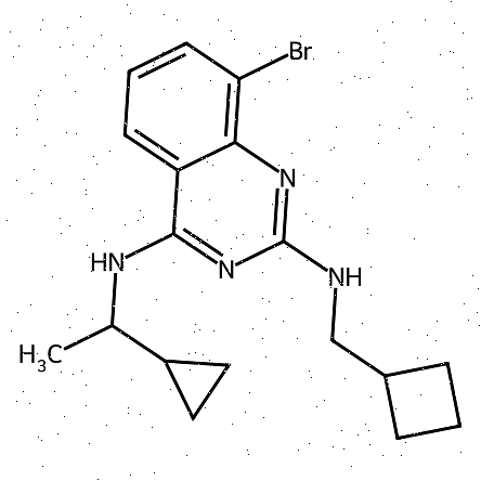 CC(Nc1nc(NCC2CCC2)nc2c(Br)cccc12)C1CC1